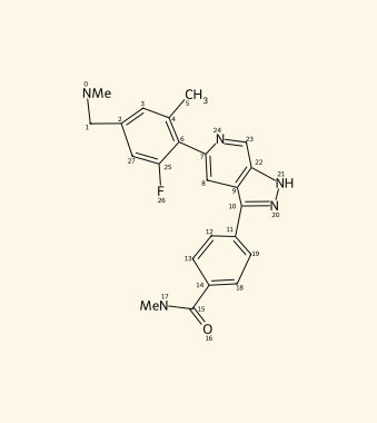 CNCc1cc(C)c(-c2cc3c(-c4ccc(C(=O)NC)cc4)n[nH]c3cn2)c(F)c1